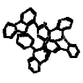 c1ccc(-c2c(-c3nc(-c4ccccc4-n4c5ccccc5c5ccccc54)nc(-c4cccc5c4sc4ccccc45)n3)ccc3ccccc23)cc1